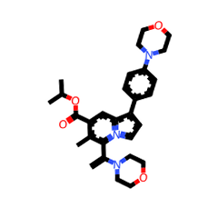 C=C(c1c(C)c(C(=O)OC(C)C)cc2c(-c3ccc(N4CCOCC4)cc3)ccn12)N1CCOCC1